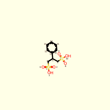 O=S(=O)(O)CC(CS(=O)(=O)O)c1ccccc1